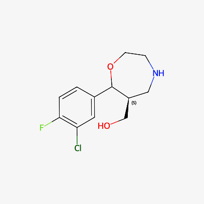 OC[C@@H]1CNCCOC1c1ccc(F)c(Cl)c1